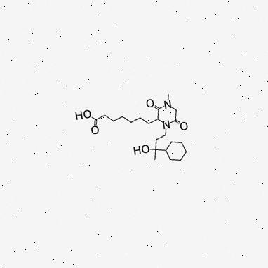 CN1CC(=O)N(CCC(C)(O)C2CCCCC2)C(CCCCCCC(=O)O)C1=O